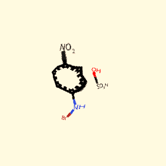 O=S(=O)(O)O.O=[N+]([O-])c1ccc(NBr)cc1